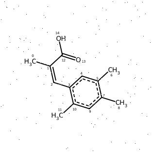 CC(=Cc1cc(C)c(C)cc1C)C(=O)O